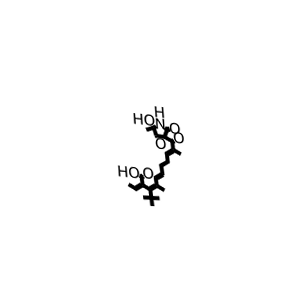 CC=C(C(=O)O)C(=C(C)C=CCCC=C(C)C(=O)C12OC1C(C)(O)NC2=O)C(C)(C)C